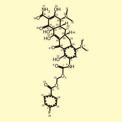 CN(C)c1cc(NC(=O)OCOC(=O)c2ccc(F)cc2)c(O)c2c1C[C@H]1C[C@H]3[C@H](N(C)C)C(O)=C(C(N)=O)C(=O)[C@@]3(O)C(O)=C1C2=O